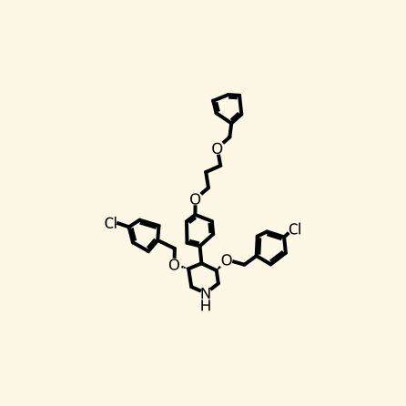 Clc1ccc(CO[C@H]2CNC[C@@H](OCc3ccc(Cl)cc3)C2c2ccc(OCCCOCc3ccccc3)cc2)cc1